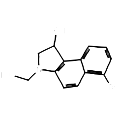 CC1CN(CC(F)(F)F)c2ccc3c(Br)cccc3c21